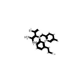 C=C(CC)/C(=C(\N)NC)N(CC1=NC=C(C)CC1)c1cccc(CCF)c1